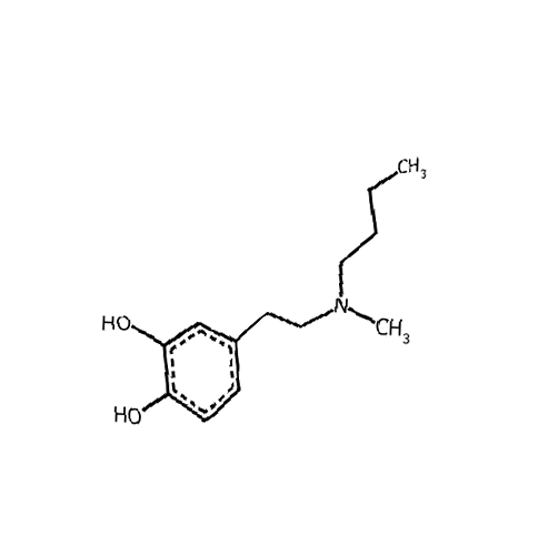 CCCCN(C)CCc1ccc(O)c(O)c1